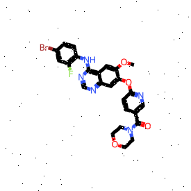 COc1cc2c(Nc3ccc(Br)cc3F)ncnc2cc1Oc1ccc(C(=O)N2CCOCC2)cn1